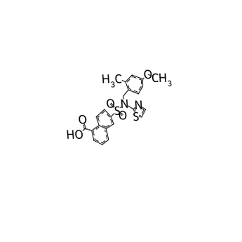 COc1ccc(CN(c2nccs2)S(=O)(=O)c2ccc3c(C(=O)O)cccc3c2)c(C)c1